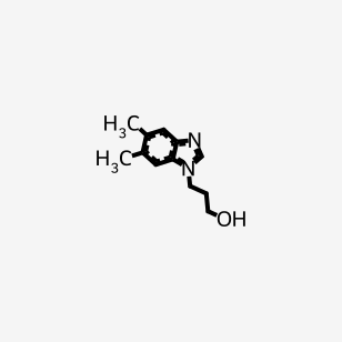 Cc1cc2ncn(CCCO)c2cc1C